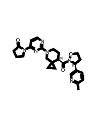 Cc1ccc([C@@H]2CCON2C(=O)[C@@H]2CCN(c3nccc(N4CCCC4=O)n3)CC23CC3)cn1